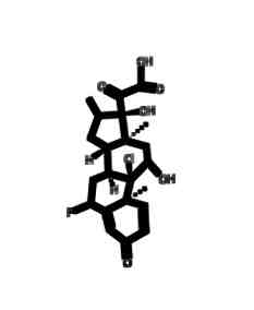 CC1C[C@H]2[C@@H]3CC(F)C4=CC(=O)C=C[C@]4(C)[C@@]3(Cl)C(O)C[C@]2(C)[C@@]1(O)C(=O)C(=O)O